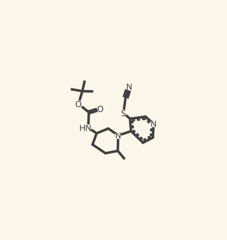 CC1CCC(NC(=O)OC(C)(C)C)CN1c1ccncc1SC#N